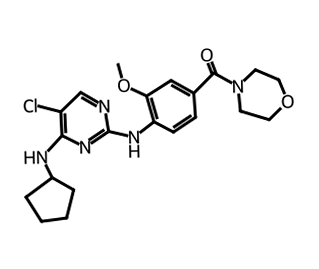 COc1cc(C(=O)N2CCOCC2)ccc1Nc1ncc(Cl)c(NC2CCCC2)n1